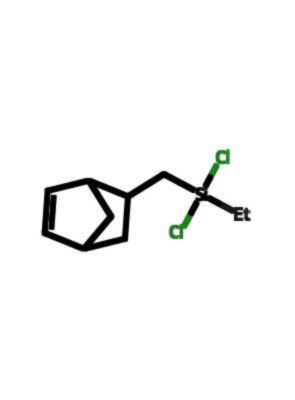 CC[Si](Cl)(Cl)CC1CC2C=CC1C2